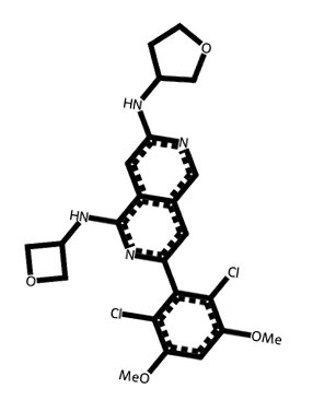 COc1cc(OC)c(Cl)c(-c2cc3cnc(NC4CCOC4)cc3c(NC3COC3)n2)c1Cl